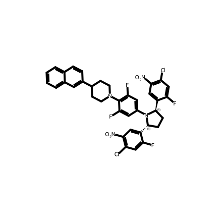 O=[N+]([O-])c1cc([C@H]2CC[C@H](c3cc([N+](=O)[O-])c(Cl)cc3F)N2c2cc(F)c(N3CCC(c4ccc5ccccc5c4)CC3)c(F)c2)c(F)cc1Cl